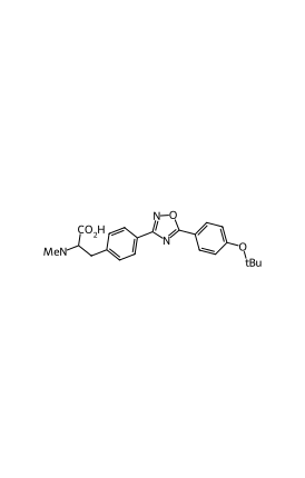 CNC(Cc1ccc(-c2noc(-c3ccc(OC(C)(C)C)cc3)n2)cc1)C(=O)O